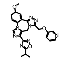 COC1C=C2C(=CC1)n1cnc(-c3noc(C(C)C)n3)c1Cn1c(COc3cccnc3)nnc12